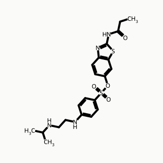 CCC(=O)Nc1nc2ccc(OS(=O)(=O)c3ccc(NCCNC(C)C)cc3)cc2s1